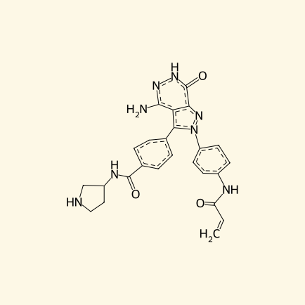 C=CC(=O)Nc1ccc(-n2nc3c(=O)[nH]nc(N)c3c2-c2ccc(C(=O)NC3CCNC3)cc2)cc1